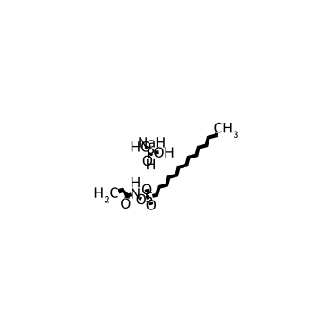 C=CC(=O)NOS(=O)(=O)CCCCCCCCCCCCCC.O=[PH](O)O.[NaH]